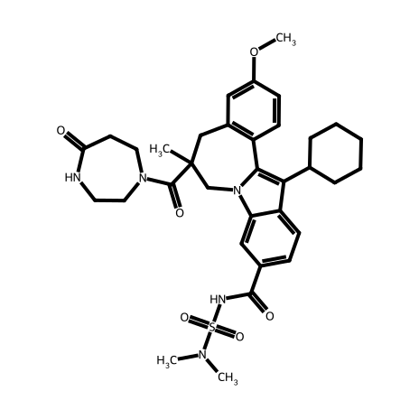 COc1ccc2c(c1)CC(C)(C(=O)N1CCNC(=O)CC1)Cn1c-2c(C2CCCCC2)c2ccc(C(=O)NS(=O)(=O)N(C)C)cc21